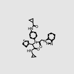 O=C(Nc1ccc(N(C(=O)Cn2nnc3ccccc32)C(C(=O)NC2CC2)c2ccsc2)cc1)C1CC1